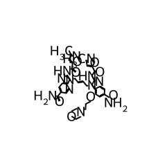 Cc1cc(C(=O)Nc2nc3cc(C(N)=O)cnc3n2CC=CCn2c(NC(=O)c3cc(C)no3)nc3cc(C(N)=O)cc(OCCCN4CCOCC4)c32)on1